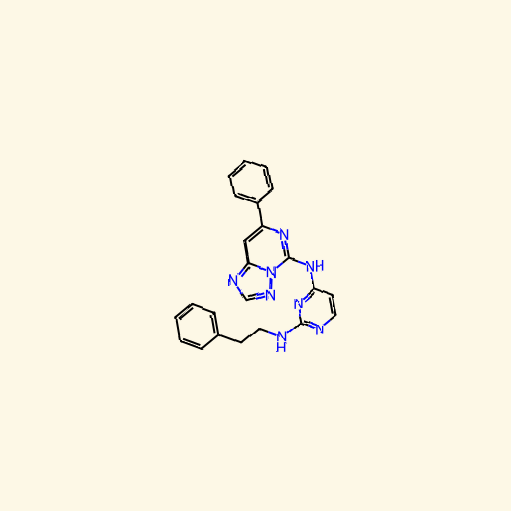 c1ccc(CCNc2nccc(Nc3nc(-c4ccccc4)cc4ncnn34)n2)cc1